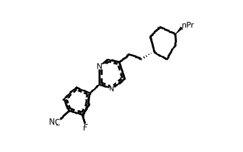 CCC[C@H]1CC[C@H](CCc2cnc(-c3ccc(C#N)c(F)c3)nc2)CC1